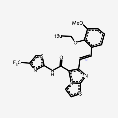 COc1cccc(/C=C/c2nc3sccn3c2C(=O)Nc2nc(C(F)(F)F)cs2)c1OCC(C)(C)C